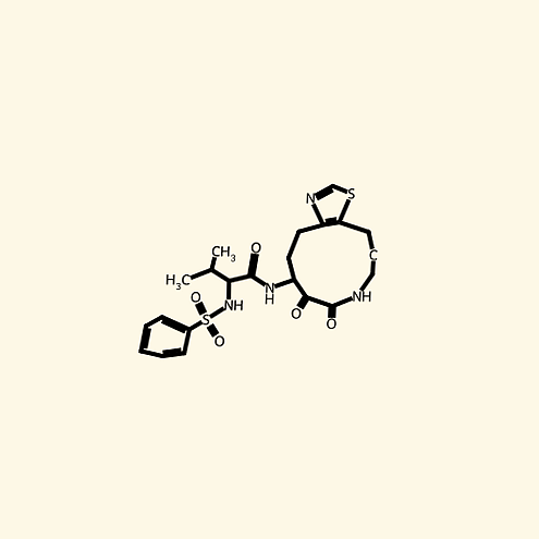 CC(C)C(NS(=O)(=O)c1ccccc1)C(=O)NC1CCc2ncsc2CCCNC(=O)C1=O